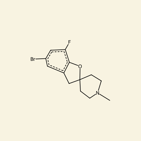 CN1CCC2(CC1)Cc1cc(Br)cc(F)c1O2